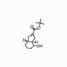 CC(C)(C)OC(=O)N1C[C@H]2CCCC(O)[C@H]2C1